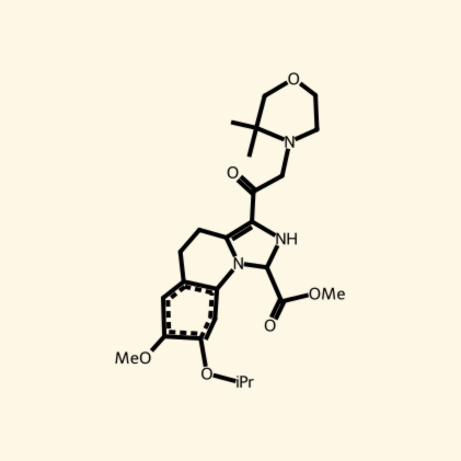 COC(=O)C1NC(C(=O)CN2CCOCC2(C)C)=C2CCc3cc(OC)c(OC(C)C)cc3N21